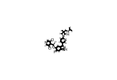 CC(C)NCC1(C)CN(c2ccc(-c3n[nH]c4cc(F)c(O[C@H](C)c5c(Cl)cncc5Cl)cc34)cn2)C1